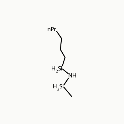 CCCCCC[SiH2]N[SiH2]C